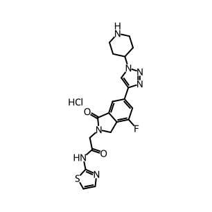 Cl.O=C(CN1Cc2c(F)cc(-c3cn(C4CCNCC4)nn3)cc2C1=O)Nc1nccs1